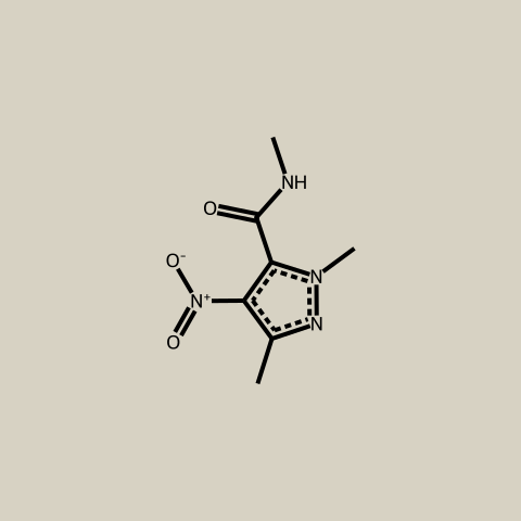 CNC(=O)c1c([N+](=O)[O-])c(C)nn1C